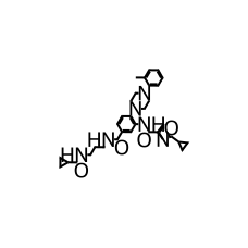 Cc1ccccc1N1CCN(c2ccc(C(=O)NCCCNC(=O)C3CC3)cc2NC(=O)c2coc(C3CC3)n2)CC1